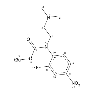 CN(C)CCN(C(=O)OC(C)(C)C)c1ccc([N+](=O)[O-])cc1F